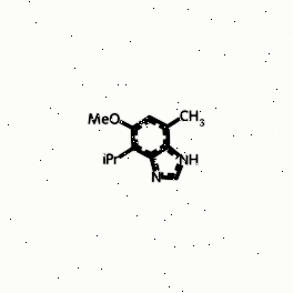 COc1cc(C)c2[nH]cnc2c1C(C)C